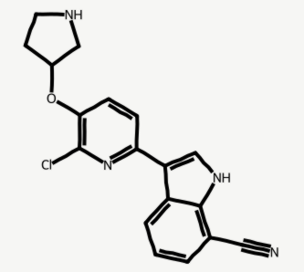 N#Cc1cccc2c(-c3ccc(OC4CCNC4)c(Cl)n3)c[nH]c12